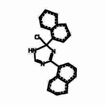 ClC1(c2cccc3ccccc23)N=C(c2cccc3ccccc23)N=CN1